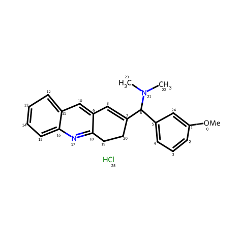 COc1cccc(C(C2=Cc3cc4ccccc4nc3CC2)N(C)C)c1.Cl